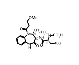 COCCC(=O)N1c2ccccc2NC(=O)[C@@H](NC(=O)[C@H](CC(C)(C)C)N(C)C(=O)O)[C@@H]1C